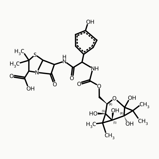 CC1(C)SC2C(NC(=O)C(NC(=O)OC[C@H]3OC4(O)C(C)(C)[C@@]4(O)[C@]4(O)C(C)(C)[C@]34O)c3ccc(O)cc3)C(=O)N2C1C(=O)O